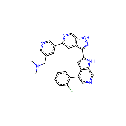 CN(C)Cc1cncc(-c2cc3c(-c4cc5c(-c6ccccc6F)cncc5[nH]4)n[nH]c3cn2)c1